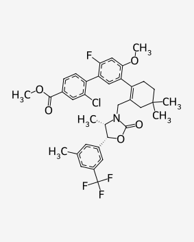 COC(=O)c1ccc(-c2cc(C3=C(CN4C(=O)O[C@H](c5cc(C)cc(C(F)(F)F)c5)[C@@H]4C)CC(C)(C)CC3)c(OC)cc2F)c(Cl)c1